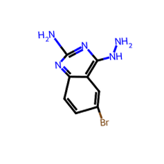 NNc1nc(N)nc2ccc(Br)cc12